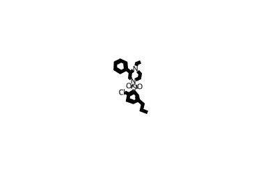 CCCc1ccc(Cl)c(S(=O)(=O)N2CCN(CC)C(c3ccccc3)C2)c1